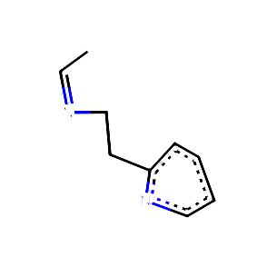 C/C=N\CCc1ccccn1